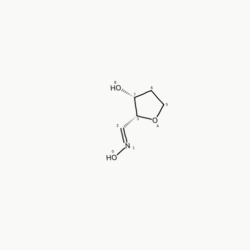 O/N=C/[C@H]1OCC[C@H]1O